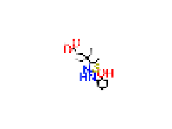 CCC(CC)(CCC(=O)OC)c1nc(Nc2ccccc2O)sc1C